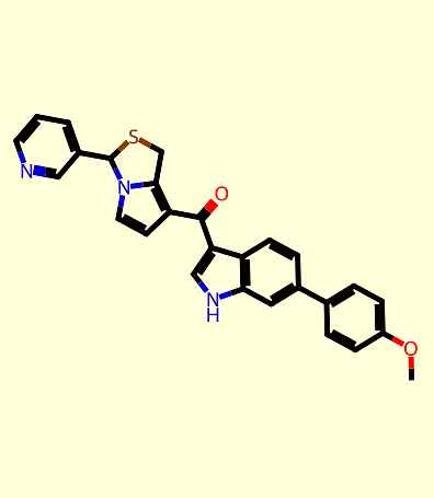 COc1ccc(-c2ccc3c(C(=O)c4ccn5c4CSC5c4cccnc4)c[nH]c3c2)cc1